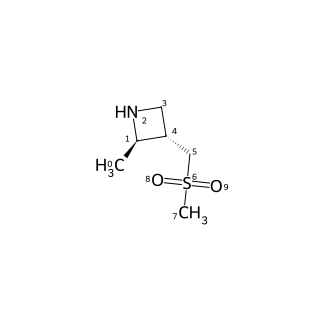 C[C@H]1NC[C@@H]1CS(C)(=O)=O